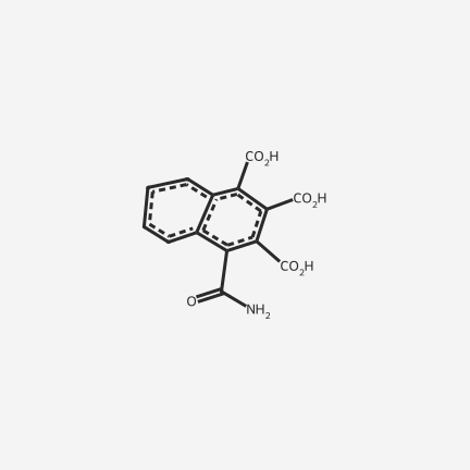 NC(=O)c1c(C(=O)O)c(C(=O)O)c(C(=O)O)c2ccccc12